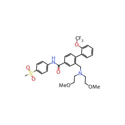 COCCN(CCOC)Cc1cc(C(=O)Nc2ccc(S(C)(=O)=O)cc2)ccc1-c1ccccc1OC(F)(F)F